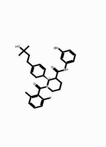 Cc1cccc(F)c1C(=O)N1CCCC(C(=O)Nc2cccc(C(C)(C)C)c2)[C@@H]1C1C=CC(CCC(C)(C)O)=CC1